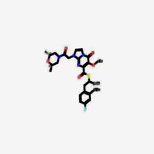 CCCCOc1c(C(=O)SC(C=O)Cc2ccc(F)cc2SC)nc2n(CC(=O)N3C[C@@H](C)O[C@H](C)C3)ccn2c1=O